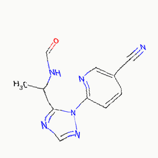 CC(NC=O)c1ncnn1-c1ccc(C#N)cn1